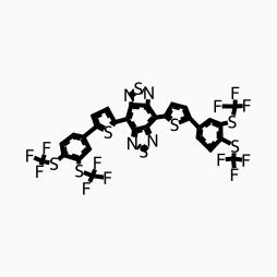 FC(F)(F)Sc1ccc(-c2ccc(-c3c4c(c(-c5ccc(-c6ccc(SC(F)(F)F)c(SC(F)(F)F)c6)s5)c5nsnc35)N=S=N4)s2)cc1SC(F)(F)F